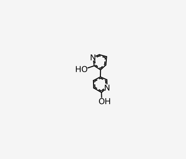 Oc1ccc(-c2cccnc2O)cn1